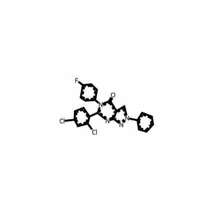 O=c1c2cn(-c3ccccc3)nc2nc(-c2ccc(Cl)cc2Cl)n1-c1ccc(F)cc1